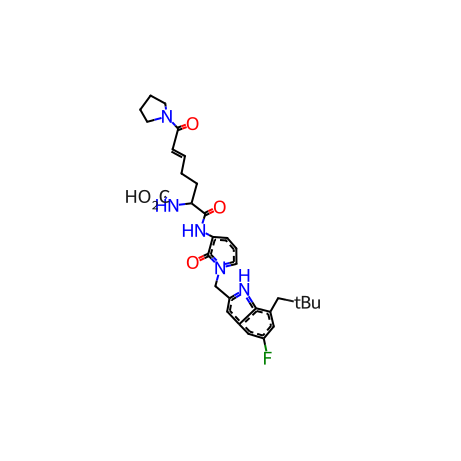 CC(C)(C)Cc1cc(F)cc2cc(Cn3cccc(NC(=O)C(CC/C=C/C(=O)N4CCCC4)NC(=O)O)c3=O)[nH]c12